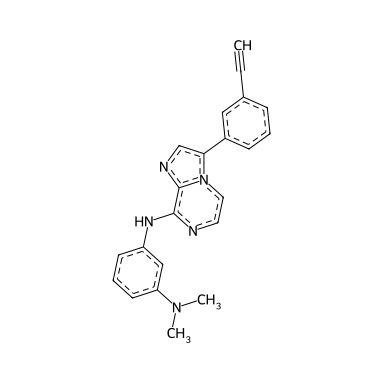 C#Cc1cccc(-c2cnc3c(Nc4cccc(N(C)C)c4)nccn23)c1